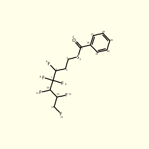 O=C(SCCC(F)C(F)(F)C(F)C(F)CF)c1ccccc1